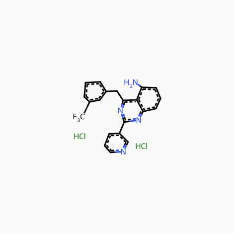 Cl.Cl.Nc1cccc2nc(-c3cccnc3)nc(Cc3cccc(C(F)(F)F)c3)c12